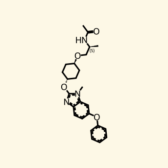 CC(=O)N[C@@H](C)CO[C@H]1CC[C@H](Oc2nc3ccc(Oc4ccccc4)cc3n2C)CC1